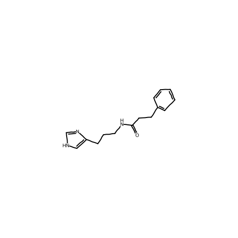 O=C(CCc1ccccc1)NCCCc1c[nH]cn1